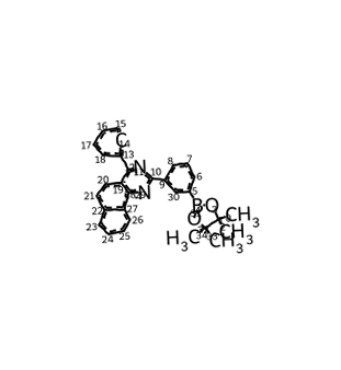 CC1(C)OB(c2cccc(-c3nc(-c4ccccc4)c4ccc5ccccc5c4n3)c2)OC1(C)C